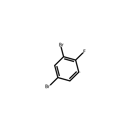 Fc1[c]cc(Br)cc1Br